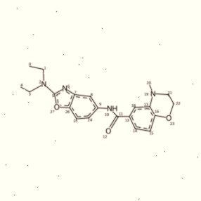 CCN(CC)c1nc2cc(NC(=O)c3ccc4c(c3)N(C)CCO4)ccc2o1